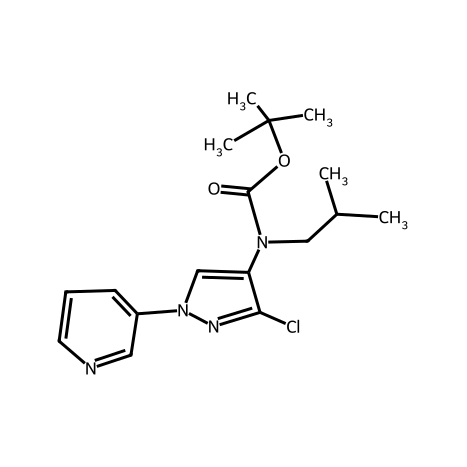 CC(C)CN(C(=O)OC(C)(C)C)c1cn(-c2cccnc2)nc1Cl